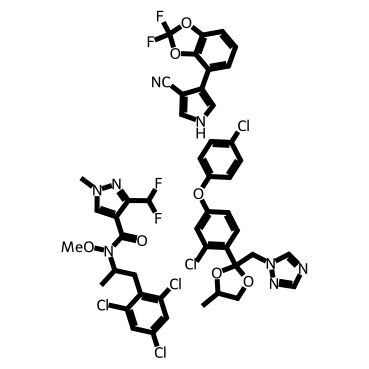 CC1COC(Cn2cncn2)(c2ccc(Oc3ccc(Cl)cc3)cc2Cl)O1.CON(C(=O)c1cn(C)nc1C(F)F)C(C)Cc1c(Cl)cc(Cl)cc1Cl.N#Cc1c[nH]cc1-c1cccc2c1OC(F)(F)O2